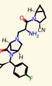 N#C[C@@H]1CC2C[C@@H]2N1C(=O)[C@@H](N)CN1C[C@@H]2C[C@H]1C(=O)N2[C@@H](c1ccc(F)cc1)C1CC1